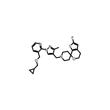 Cc1nn(-c2ncccc2COCC2CC2)cc1CN1CCC2(CC1)OCCc1cc(F)sc12